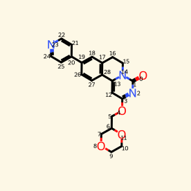 O=c1nc(OCC2COCCO2)cc2n1CCc1cc(-c3ccncc3)ccc1-2